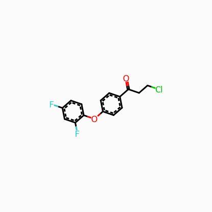 O=C(CCCl)c1ccc(Oc2ccc(F)cc2F)cc1